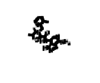 Cc1cccnc1CN(C(=O)C(=O)Nc1cnc(N)c2cn[nH]c12)[C@H](C)C(C)C